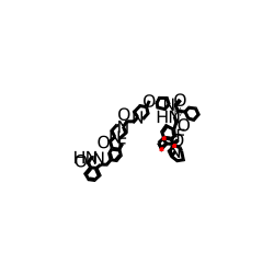 O=C(N[C@@H](C(=O)N1CCC(OC2CCN(CC(=O)N3CCN(C(=O)c4cc(Cc5n[nH]c(=O)c6ccccc56)ccc4F)CC3)CC2)CC1)C1CCCCC1)c1cccc(C2CC3CCC(C2)N3C(=O)C23CC(C2)C3)c1F